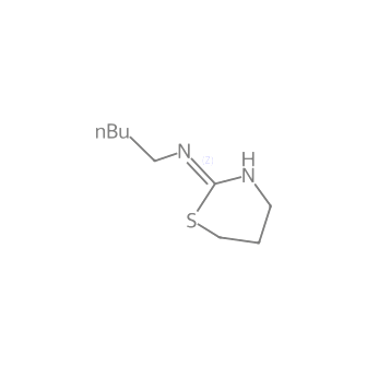 CCCCC/N=C1/NCCCS1